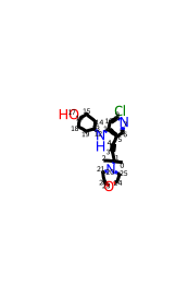 CC(C)(C#Cc1cnc(Cl)cc1NC1CCC(O)CC1)N1CCOCC1